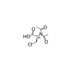 CC(=O)N(C(C)=O)[C@@H](CCl)C(=O)O